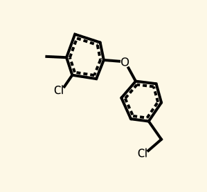 Cc1ccc(Oc2ccc(CCl)cc2)cc1Cl